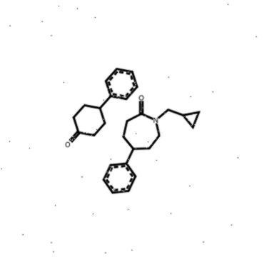 O=C1CCC(c2ccccc2)CC1.O=C1CCC(c2ccccc2)CCN1CC1CC1